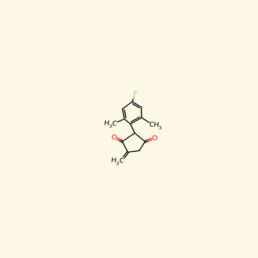 C=C1CC(=O)C(c2c(C)cc(F)cc2C)C1=O